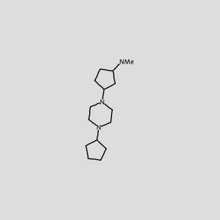 CNC1CCC(N2CCN(C3CCCC3)CC2)C1